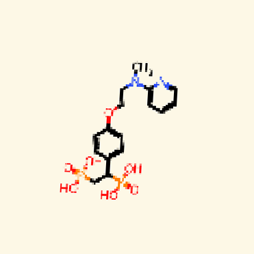 CN(CCOc1ccc(C(CP(=O)(O)O)P(=O)(O)O)cc1)c1ccccn1